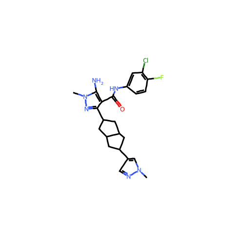 Cn1cc(C2CC3CC(c4nn(C)c(N)c4C(=O)Nc4ccc(F)c(Cl)c4)CC3C2)cn1